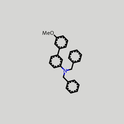 COc1cccc(-c2cccc(N(Cc3ccccc3)Cc3ccccc3)c2)c1